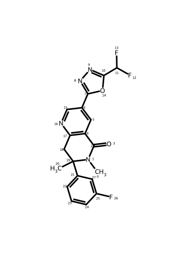 CN1C(=O)c2cc(-c3nnc(C(F)F)o3)cnc2CC1(C)c1cccc(F)c1